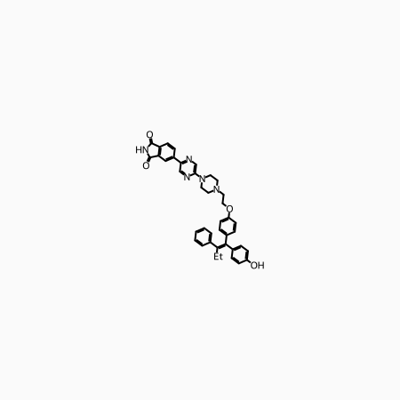 CCC(=C(c1ccc(O)cc1)c1ccc(OCCN2CCN(c3cnc(-c4ccc5c(c4)C(=O)NC5=O)cn3)CC2)cc1)c1ccccc1